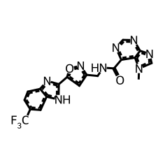 Cn1cnc2ncnc(C(=O)NCc3cc(-c4nc5ccc(C(F)(F)F)cc5[nH]4)on3)c21